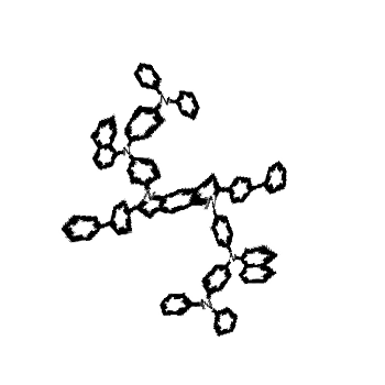 c1ccc(-c2ccc(-c3cc4cc5c(cc(-c6ccc(-c7ccccc7)cc6)n5-c5ccc(N(c6ccc(N(c7ccccc7)c7ccccc7)cc6)c6cccc7ccccc67)cc5)cc4n3-c3ccc(N(c4ccc(N(c5ccccc5)c5ccccc5)cc4)c4cccc5ccccc45)cc3)cc2)cc1